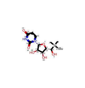 CC(C)(C)[Si](C)(C)C(O)[C@H]1O[C@@H](n2ccc(=O)[nH]c2=O)[C@H](O)[C@@H]1O